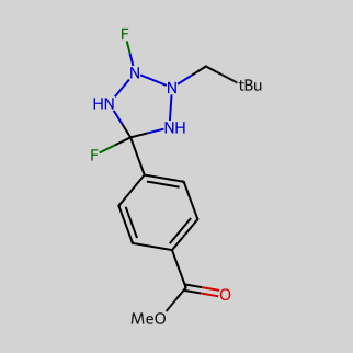 COC(=O)c1ccc(C2(F)NN(F)N(CC(C)(C)C)N2)cc1